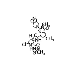 Cc1cc([C@@H](C)Nc2ccc(Cl)nc2C(=O)NS(C)(=O)=O)c2nc(N3CCc4oncc4C3)n(C)c(=O)c2c1